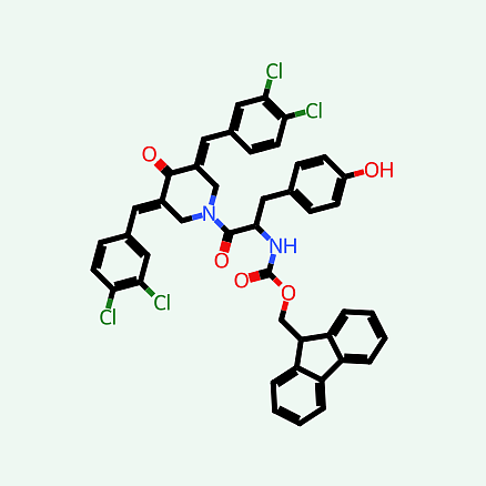 O=C(NC(Cc1ccc(O)cc1)C(=O)N1C/C(=C\c2ccc(Cl)c(Cl)c2)C(=O)/C(=C/c2ccc(Cl)c(Cl)c2)C1)OCC1c2ccccc2-c2ccccc21